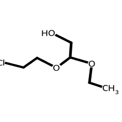 CCOC(CO)OCCCl